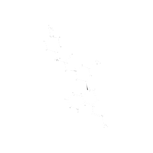 C/N=C/c1ccc([C@@H]2C[C@@H](C)CN(CC(=O)NC3CCN(C)CC3)C2)c2cccnc12